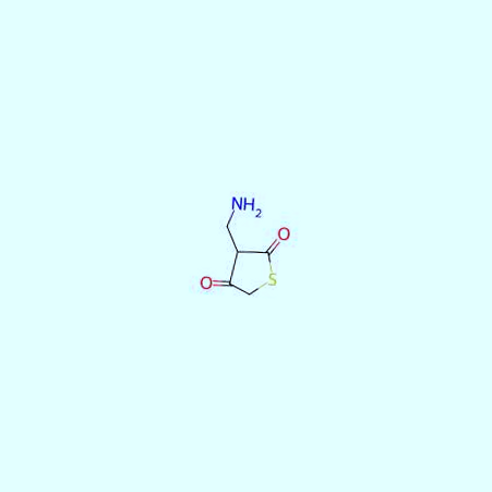 NCC1C(=O)CSC1=O